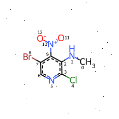 CNc1c(Cl)ncc(Br)c1[N+](=O)[O-]